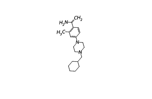 C=C(N)c1ccc(N2CCN(CC3CCCCC3)CC2)cc1C